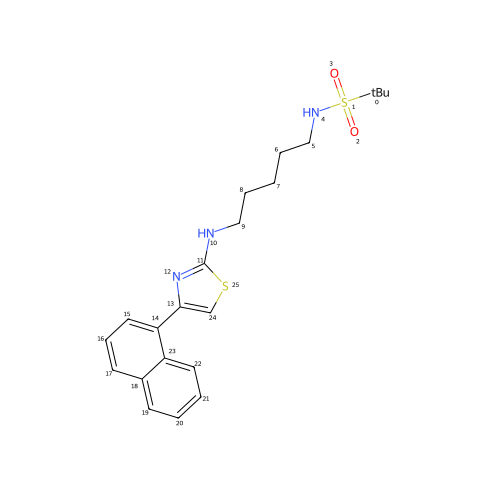 CC(C)(C)S(=O)(=O)NCCCCCNc1nc(-c2cccc3ccccc23)cs1